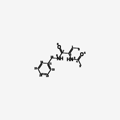 C/C=C(\NC(C)=O)C(=O)NCc1ccccc1